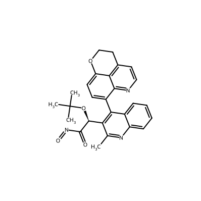 Cc1nc2ccccc2c(-c2ccc3c4c(ccnc24)CCO3)c1[C@H](OC(C)(C)C)C(=O)N=O